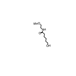 COCCNC(=O)CCCCCO